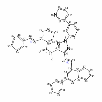 C=C(C(=C)c1nn(-c2cccc(-c3cccnc3)c2)nc1/C=C/c1cc(-c2ccccc2)cc2ccccc12)c1ccccc1/C=C/c1ccccc1